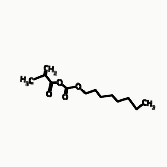 C=C(C)C(=O)OC(=O)OCCCCCCCC